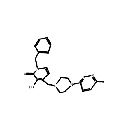 Cc1ccc(N2CCN(Cc3ccn(Cc4ccccc4)c(=O)c3O)CC2)nn1